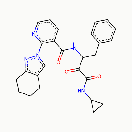 O=C(NC1CC1)C(=O)C(Cc1ccccc1)NC(=O)c1cccnc1-n1cc2c(n1)CCCC2